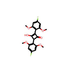 COc1cc(F)cc(OC)c1C1=C(O)C(c2c(OC)cc(F)cc2OC)C1=O